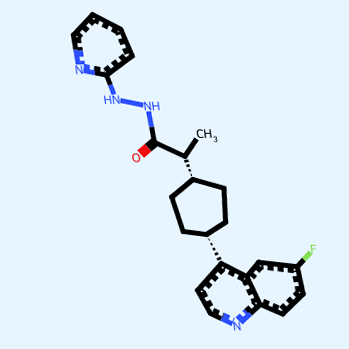 CC(C(=O)NNc1ccccn1)[C@H]1CC[C@@H](c2ccnc3ccc(F)cc32)CC1